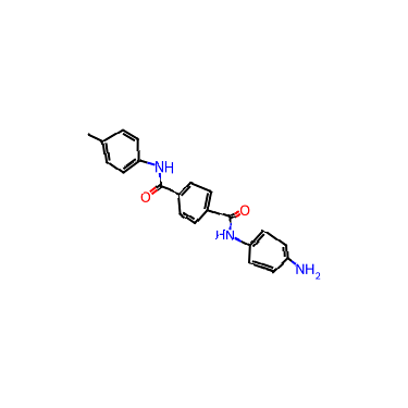 Cc1ccc(NC(=O)c2ccc(C(=O)Nc3ccc(N)cc3)cc2)cc1